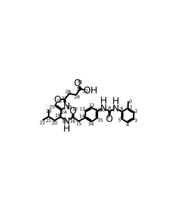 Cc1ccccc1NC(=O)Nc1ccc(CC(=O)NC(CC(C)C)c2coc(CCC(=O)O)n2)cc1